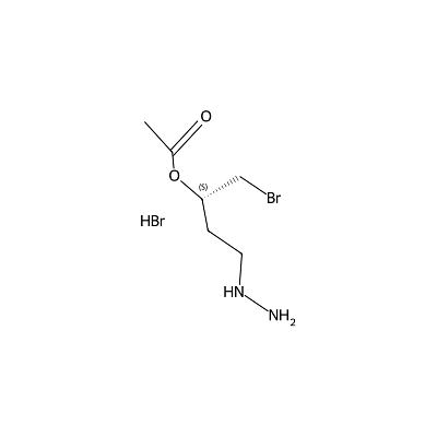 Br.CC(=O)O[C@H](CBr)CCNN